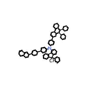 CC1(c2ccccc2)c2ccccc2-c2c(N(c3ccc(-c4ccc(-c5ccc6ccccc6c5)cc4)cc3)c3ccc(-c4ccc5c(c4)c(-c4ccccc4)c(-c4ccccc4)c4ccccc45)cc3)cccc21